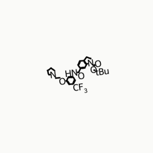 CC(C)(C)OC(=O)N1CCc2ccc(C(=O)Nc3cc(OCCN4CCCC4)cc(C(F)(F)F)c3)cc21